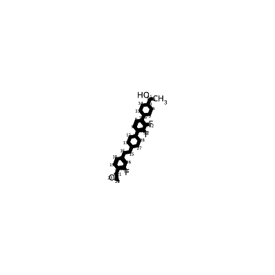 CC(O)C1CCC(c2ccc(C3CCC(CCc4ccc(C5CO5)c(F)c4)CC3)c(F)c2F)CC1